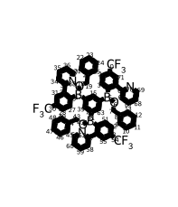 FC(F)(F)c1ccc(B(OCc2ccccc2)c2cc(B(OCc3ccccc3)c3ccc(C(F)(F)F)cc3-c3ccccn3)cc(B(OCc3ccccc3)c3ccc(C(F)(F)F)cc3-c3ccccn3)c2)c(-c2ccccn2)c1